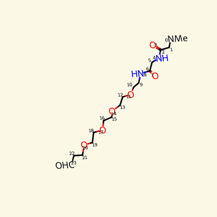 CNCC(=O)NCC(=O)NCCOCCOCCOCCOCCC=O